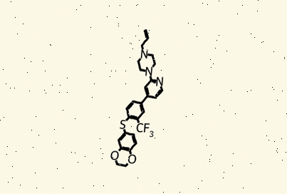 C=CCN1CCN(c2cc(-c3ccc(Sc4ccc5c(c4)OCCO5)c(C(F)(F)F)c3)ccn2)CC1